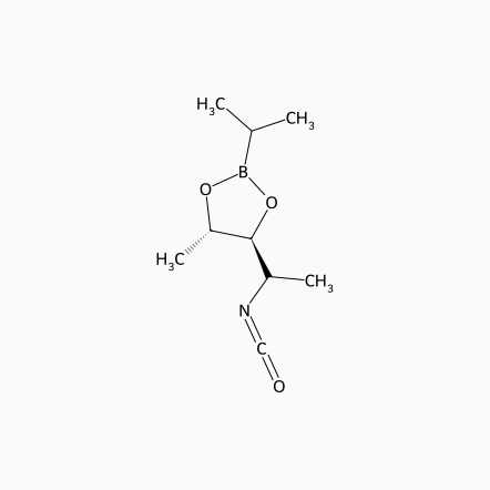 CC(C)B1O[C@@H](C)[C@H](C(C)N=C=O)O1